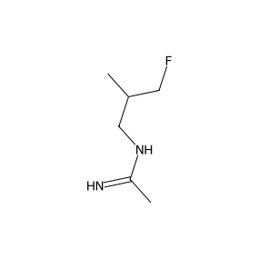 CC(=N)NCC(C)CF